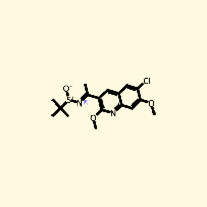 COc1cc2nc(OC)c(/C(C)=N/[S+]([O-])C(C)(C)C)cc2cc1Cl